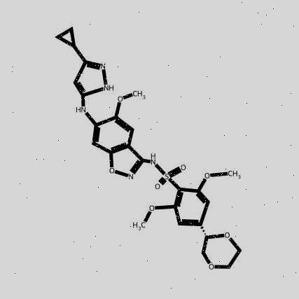 COc1cc2c(NS(=O)(=O)c3c(OC)cc([C@H]4COCCO4)cc3OC)noc2cc1Nc1cc(C2CC2)n[nH]1